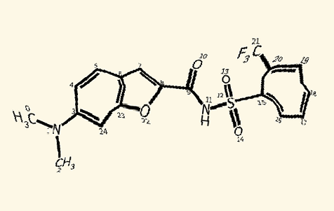 CN(C)c1ccc2cc(C(=O)NS(=O)(=O)c3ccccc3C(F)(F)F)oc2c1